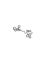 NC(CCCCNC(=O)C1CC=CO1)C(=O)O